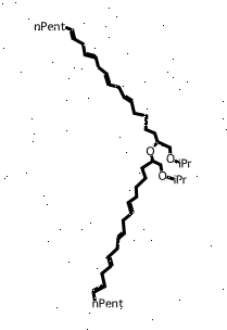 CCCCCC=CCC=CCC=CCC=CCCCCC(COC(C)C)OC(CCCCC=CCC=CCC=CCC=CCCCCC)COC(C)C